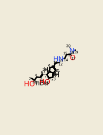 CCCC[C@](C)(O)C/C=C/[C@@H]1[C@H]2CC(CCNCCC(=O)N(C)C)=C[C@H]2C[C@H]1O